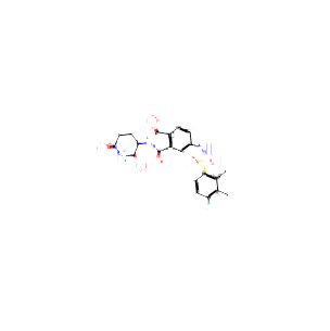 Cc1c(F)ccc(S(=O)(=O)Nc2ccc3c(c2)C(=O)N(C2CCC(=O)NC2=O)C3=O)c1C